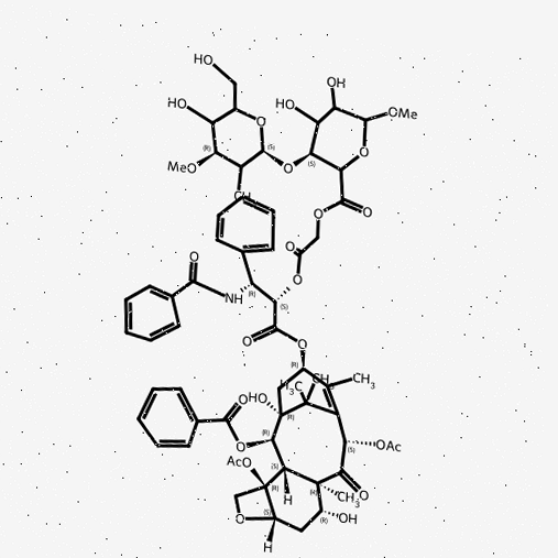 COC1OC(C(=O)OCC(=O)O[C@H](C(=O)O[C@@H]2C[C@]3(O)[C@H](OC(=O)c4ccccc4)[C@H]4[C@@]5(OC(C)=O)CO[C@H]5C[C@@H](O)[C@]4(C)C(=O)[C@@H](OC(C)=O)C(=C2C)C3(C)C)[C@H](NC(=O)c2ccccc2)c2ccccc2)[C@@H](O[C@@H]2OC(CO)C(O)[C@H](OC)C2C)C(O)C1O